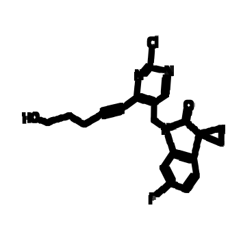 O=C1N(Cc2cnc(Cl)nc2C#CCCCO)c2cc(F)ccc2C12CC2